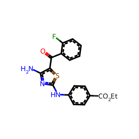 CCOC(=O)c1ccc(Nc2nc(N)c(C(=O)c3ccccc3F)s2)cc1